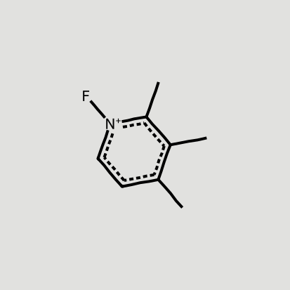 Cc1cc[n+](F)c(C)c1C